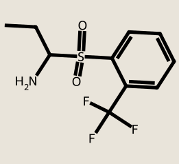 CCC(N)S(=O)(=O)c1ccccc1C(F)(F)F